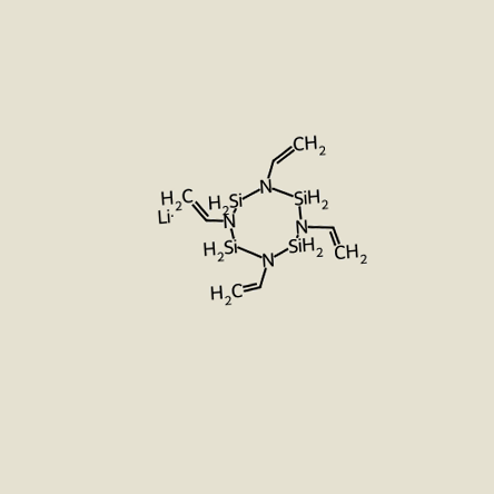 C=CN1[SiH2]N(C=C)[SiH2]N(C=C)[SiH2]N(C=C)[SiH2]1.[Li]